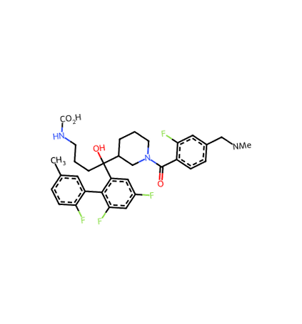 CNCc1ccc(C(=O)N2CCCC(C(O)(CCCNC(=O)O)c3cc(F)cc(F)c3-c3cc(C)ccc3F)C2)c(F)c1